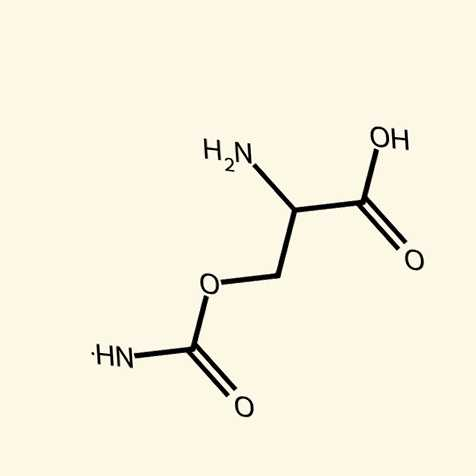 [NH]C(=O)OCC(N)C(=O)O